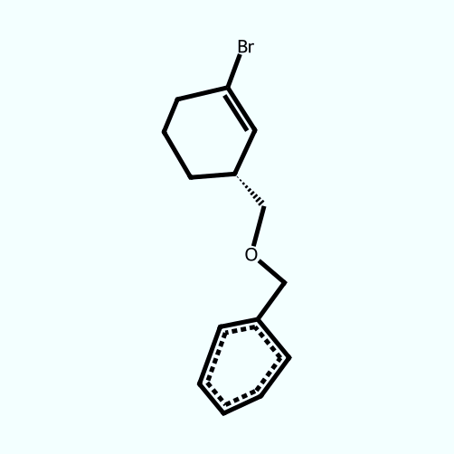 BrC1=C[C@H](COCc2ccccc2)CCC1